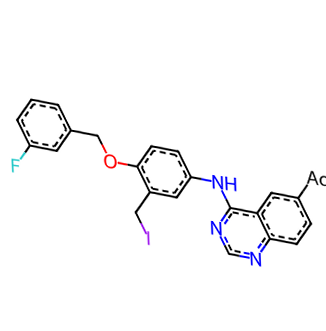 CC(=O)c1ccc2ncnc(Nc3ccc(OCc4cccc(F)c4)c(CI)c3)c2c1